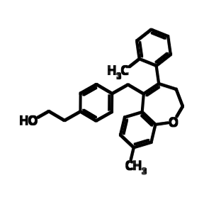 Cc1ccc2c(c1)OCCC(c1ccccc1C)=C2Cc1ccc(CCO)cc1